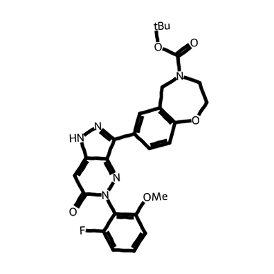 COc1cccc(F)c1-n1nc2c(-c3ccc4c(c3)CN(C(=O)OC(C)(C)C)CCO4)n[nH]c2cc1=O